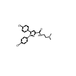 CN(C)CCNC(=O)c1cc(-c2ccc(Cl)cc2)n(-c2ccc(Cl)cc2)n1